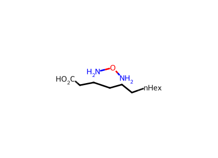 CCCCCCCCCCCC(=O)O.NON